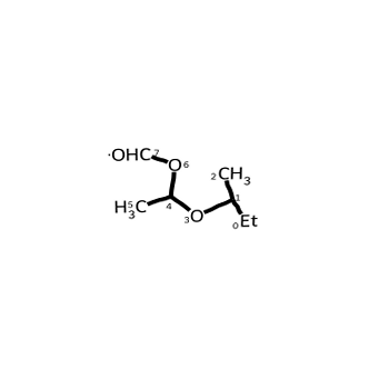 CCC(C)OC(C)O[C]=O